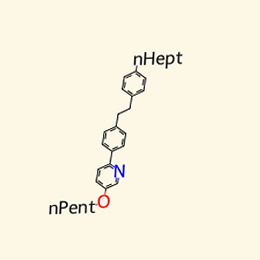 CCCCCCCc1ccc(CCc2ccc(-c3ccc(OCCCCC)cn3)cc2)cc1